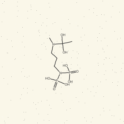 CN(CCCN(P(=O)(O)O)P(=O)(O)O)C(C)(O)O